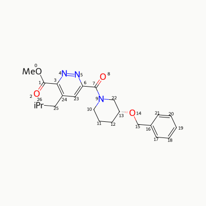 COC(=O)c1nnc(C(=O)N2CCC[C@@H](OCc3ccccc3)C2)cc1CC(C)C